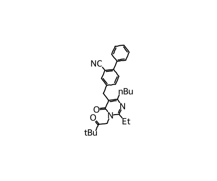 CCCCc1nc(CC)n(CC(=O)C(C)(C)C)c(=O)c1Cc1ccc(-c2ccccc2)c(C#N)c1